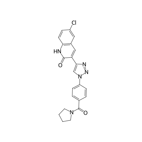 O=C(c1ccc(-n2cc(-c3cc4cc(Cl)ccc4[nH]c3=O)nn2)cc1)N1CCCC1